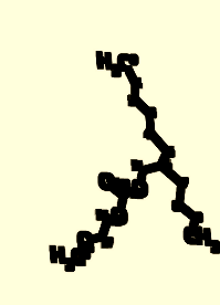 CCCCCCC(CCCC)COC(=O)OCCOC